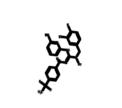 CC(=O)N(Cc1ccc(F)c(Cl)c1)/C(=N/C(=O)c1ccc(C(C)(F)F)cc1)Nc1cccc(O)n1